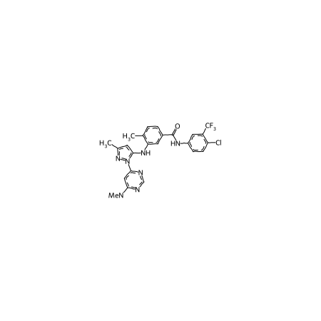 CNc1cc(-n2nc(C)cc2Nc2cc(C(=O)Nc3ccc(Cl)c(C(F)(F)F)c3)ccc2C)ncn1